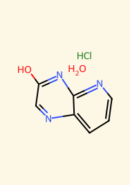 Cl.O.Oc1cnc2cccnc2n1